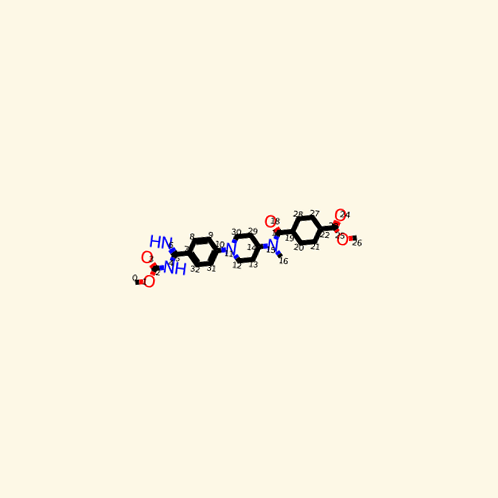 COC(=O)NC(=N)c1ccc(N2CCC(N(C)C(=O)C3CCC(C(=O)OC)CC3)CC2)cc1